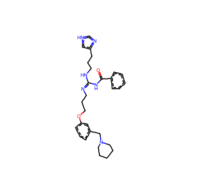 O=C(N/C(=N\CCCOc1cccc(CN2CCCCC2)c1)NCCCc1c[nH]cn1)c1ccccc1